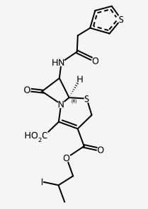 CC(I)COC(=O)C1=C(C(=O)O)N2C(=O)C(NC(=O)Cc3ccsc3)[C@H]2SC1